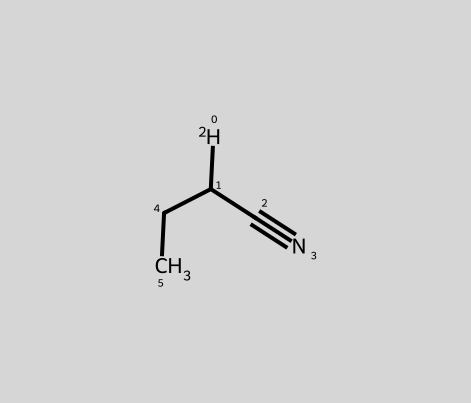 [2H]C(C#N)CC